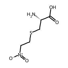 N[C@@H](CSCC[N+](=O)[O-])C(=O)O